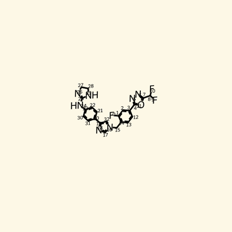 Fc1cc(-c2nnc(C(F)F)o2)ccc1Cn1cnc(-c2ccc(NC3=NCCN3)cc2)c1